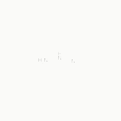 CC(C)N(CCNCCN)C(C)C